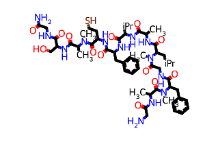 CC(C)CC(C(=O)NC(C)C(=O)NC(C(=O)NC(Cc1ccccc1)C(=O)NC(CCS)C(=O)N(C)C(C)C(=O)NC(CO)C(=O)NCC(N)=O)C(C)C)N(C)C(=O)CNC(=O)C(Cc1ccccc1)N(C)C(=O)C(C)NC(=O)CN